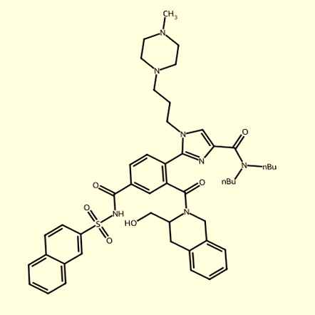 CCCCN(CCCC)C(=O)c1cn(CCCN2CCN(C)CC2)c(-c2ccc(C(=O)NS(=O)(=O)c3ccc4ccccc4c3)cc2C(=O)N2Cc3ccccc3CC2CO)n1